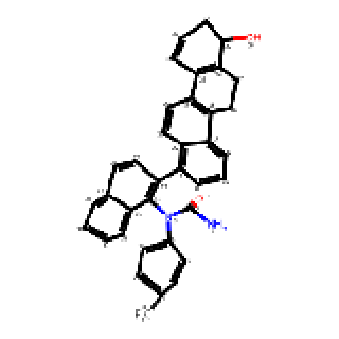 NC(=O)N(c1ccc(C(F)(F)F)cc1)c1c(-c2cccc3c4c(ccc23)C2=C(CC4)C(O)CC=C2)ccc2ccccc12